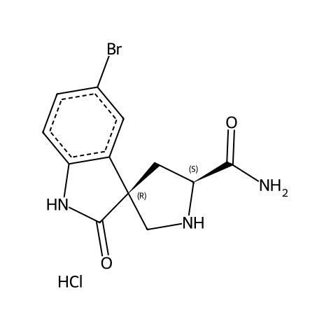 Cl.NC(=O)[C@@H]1C[C@@]2(CN1)C(=O)Nc1ccc(Br)cc12